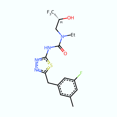 CCN(C[C@@H](O)C(F)(F)F)C(=O)Nc1nnc(Cc2cc(C)cc(F)c2)s1